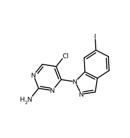 Nc1ncc(Cl)c(-n2ncc3ccc(I)cc32)n1